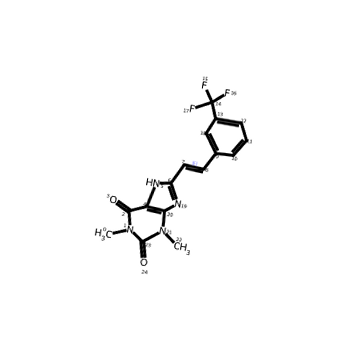 Cn1c(=O)c2[nH]c(/C=C/c3cccc(C(F)(F)F)c3)nc2n(C)c1=O